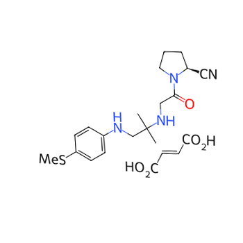 CSc1ccc(NCC(C)(C)NCC(=O)N2CCC[C@H]2C#N)cc1.O=C(O)/C=C/C(=O)O